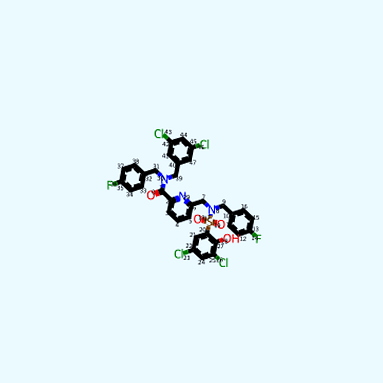 O=C(c1cccc(CN(Cc2ccc(F)cc2)S(=O)(=O)c2cc(Cl)cc(Cl)c2O)n1)N(Cc1ccc(F)cc1)Cc1cc(Cl)cc(Cl)c1